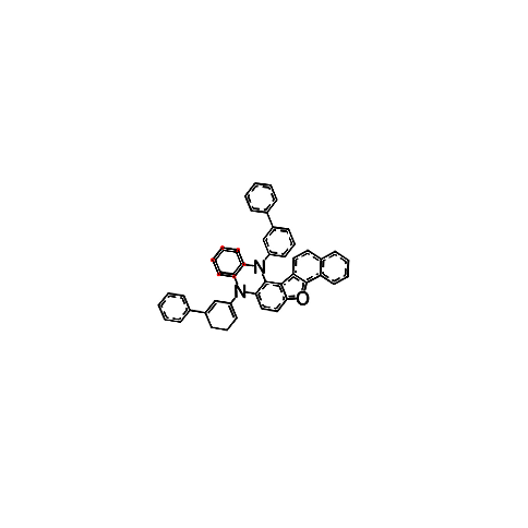 C1=C(c2ccccc2)CCC=C1N(c1ccccc1)c1ccc2oc3c4ccccc4ccc3c2c1N(c1ccccc1)c1cccc(-c2ccccc2)c1